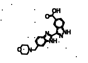 O=C(O)c1ccc2[nH]nc(-c3nc4ccc(CN5CCOCC5)cc4[nH]3)c2c1